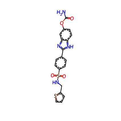 NC(=O)Oc1ccc2[nH]c(-c3ccc(S(=O)(=O)NCc4cccs4)cc3)nc2c1